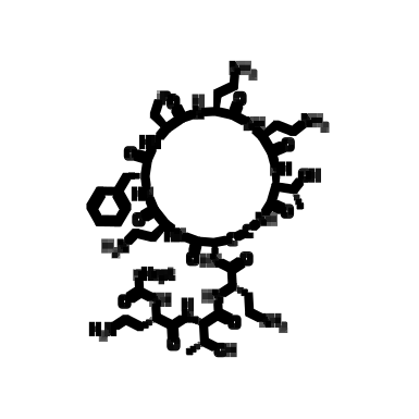 CCCCCCCC(=O)N[C@@H](CCN)C(=O)N[C@H](C(=O)N[C@@H](CCN)C(=O)N[C@H]1CCNC(=O)[C@H]([C@@H](C)O)NC(=O)[C@H](CCN)NC(=O)[C@H](CCN)NC(=O)[C@H](CC(C)C)NC(=O)[C@@H](Cc2ccccc2)NC(=O)[C@H](CCN)NC1=O)[C@@H](C)O